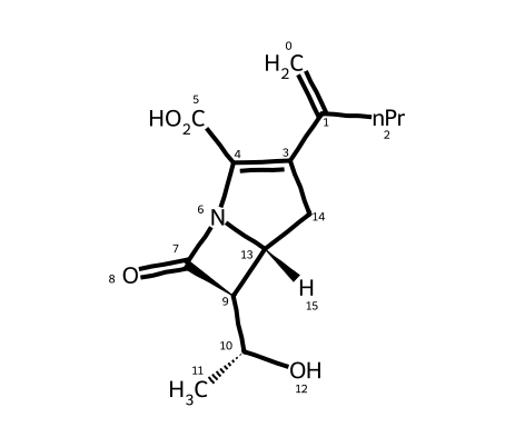 C=C(CCC)C1=C(C(=O)O)N2C(=O)[C@H]([C@@H](C)O)[C@H]2C1